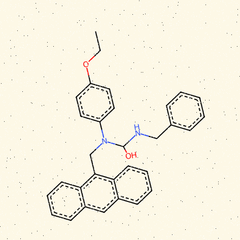 CCOc1ccc(N(Cc2c3ccccc3cc3ccccc23)C(O)NCc2ccccc2)cc1